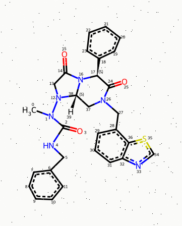 CN(C(=O)NCc1ccccc1)N1CC(=O)N2[C@@H](c3ccccc3)C(=O)N(Cc3cccc4ncsc34)C[C@@H]21